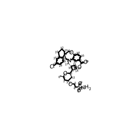 C[C@@H]1C[C@@H](OCCS(N)(=O)=O)C[C@H]([C@@H]2CC[C@H]2CN2C[C@@]3(CCCc4cc(Cl)ccc43)COc3ccc(C(=O)O)cc32)O1